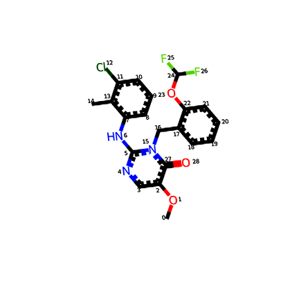 COc1cnc(Nc2cccc(Cl)c2C)n(Cc2ccccc2OC(F)F)c1=O